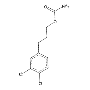 NC(=O)OCC[CH]c1ccc(Cl)c(Cl)c1